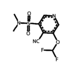 CN(C)S(=O)(=O)c1cncc(OC(F)F)c1C#N